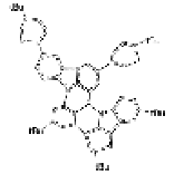 CC(C)(C)c1ccc(-c2ccc3c(c2)c2cc(-c4ccc(C(C)(C)C)cc4)cc4c2n3-c2cc(C(C)(C)C)cc3c2B4n2c4ccc(C(C)(C)C)cc4c4cc(C(C)(C)C)cc-3c42)cc1